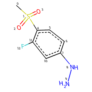 CS(=O)(=O)c1ccc(NN)cc1F